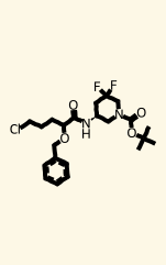 CC(C)(C)OC(=O)N1C[C@H](NC(=O)C(CCCCl)OCc2ccccc2)CC(F)(F)C1